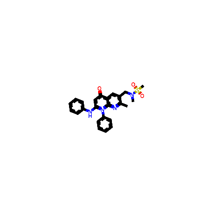 Cc1nc2c(cc1CN(C)S(C)(=O)=O)c(=O)cc(Nc1ccccc1)n2-c1ccccc1